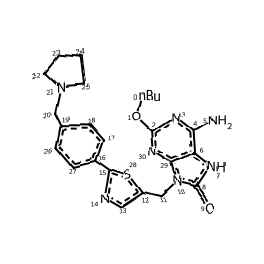 CCCCOc1nc(N)c2[nH]c(=O)n(Cc3cnc(-c4ccc(CN5CCCC5)cc4)s3)c2n1